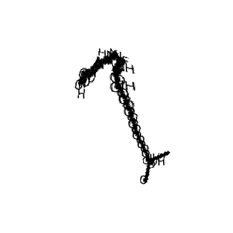 CCCCCCCCCCCC(CCCCCCCCCCC(C)=O)(C(=O)O)C(=O)NCCOCCOCCOCCOCCOCCOCCOCCOCCOCCOCCOCCOCCC(=O)NCC(=O)OC(C)(C)c1ccc(C(=O)Nc2cc(F)cc(-c3ncnc4[nH]c(-c5ccc(CCN6CCC7(CC6)CCN(C(=O)c6ccc(OC)c(N8CCC(=O)NC8=O)c6)CC7)cc5)cc34)c2C)c(F)c1